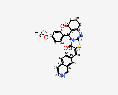 COc1ccc(C2C3=C(CCCC3=O)N=c3s/c(=C/c4ccc5ccncc5c4)c(=O)n32)cc1